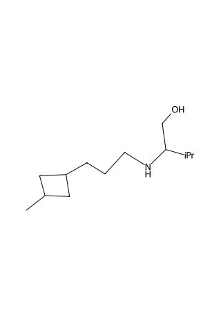 CC1CC(CCCNC(CO)C(C)C)C1